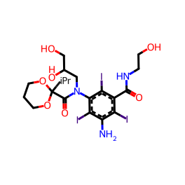 CC(C)C1(C(=O)N(CC(O)CO)c2c(I)c(N)c(I)c(C(=O)NCCO)c2I)OCCCO1